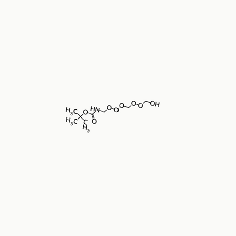 CC(C)(C)OC(=O)NCOOOCOOCO